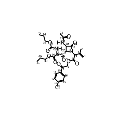 C=C(C)C(C(=O)OCC(=O)c1ccc(Cl)cc1)N1C(=O)C(NC(C)=O)C1[S+]([O-])N(NC(=O)OCCC)C(=O)OCCC